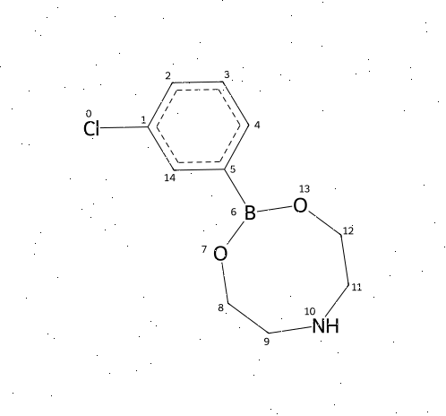 Clc1cccc(B2OCCNCCO2)c1